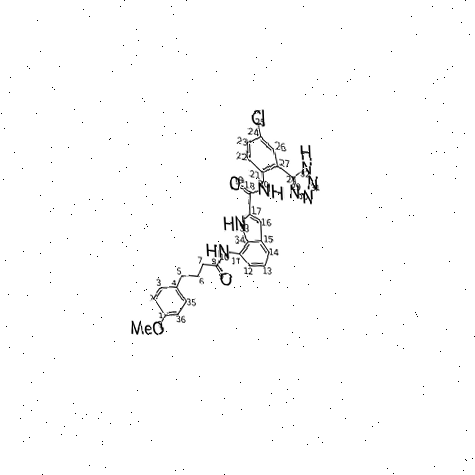 COc1ccc(CCCC(=O)Nc2cccc3cc(C(=O)Nc4ccc(Cl)cc4-c4nnn[nH]4)[nH]c23)cc1